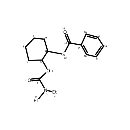 CCN(CC)C(=O)OC1CCCCC1SC(=O)c1ccccc1